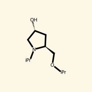 CC(C)OC[C@@H]1C[C@@H](O)CN1C(C)C